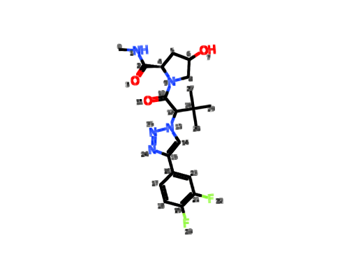 CNC(=O)[C@H]1CC(O)CN1C(=O)C(n1cc(-c2ccc(F)c(F)c2)nn1)C(C)(C)C